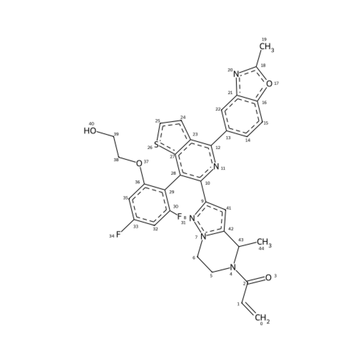 C=CC(=O)N1CCn2nc(-c3nc(-c4ccc5oc(C)nc5c4)c4ccsc4c3-c3c(F)cc(F)cc3OCCO)cc2C1C